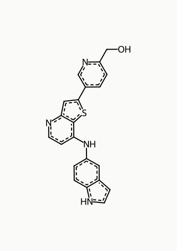 OCc1ccc(-c2cc3nccc(Nc4ccc5[nH]ccc5c4)c3s2)cn1